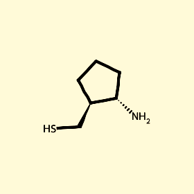 N[C@H]1CCC[C@@H]1CS